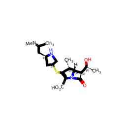 CNC(C)C[C@@H]1C[C@H](SC2=C(C(=O)O)N3C(=O)[C@H]([C@@H](C)O)[C@H]3[C@H]2C)CN1